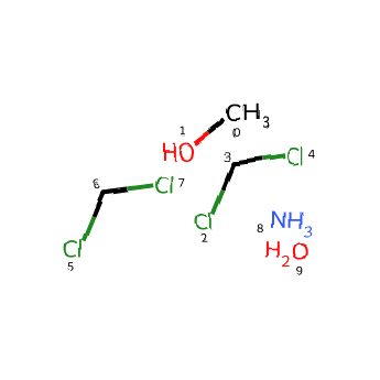 CO.ClCCl.ClCCl.N.O